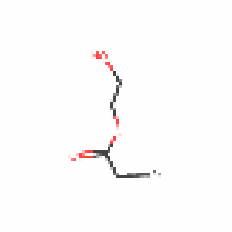 CC(C)CC(=O)OCCO